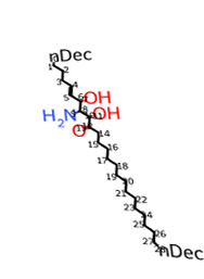 CCCCCCCCCCCCC/C=C/C(O)C(N)C(O)C(=O)CCCCCCCCCCCCCCCCCCCCCCCC